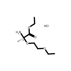 CCOCCO[C@@](C)(N)C(=O)OCC.Cl